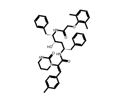 Cc1ccc(C=C(C(=O)N[C@@H](Cc2ccccc2)C[C@H](O)[C@H](Cc2ccccc2)NC(=O)COc2c(C)cccc2C)N2CCCNC2=O)cc1